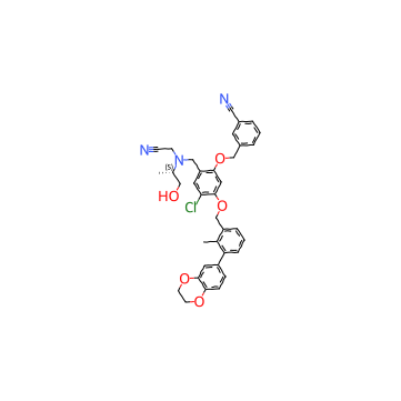 Cc1c(COc2cc(OCc3cccc(C#N)c3)c(CN(CC#N)[C@@H](C)CO)cc2Cl)cccc1-c1ccc2c(c1)OCCO2